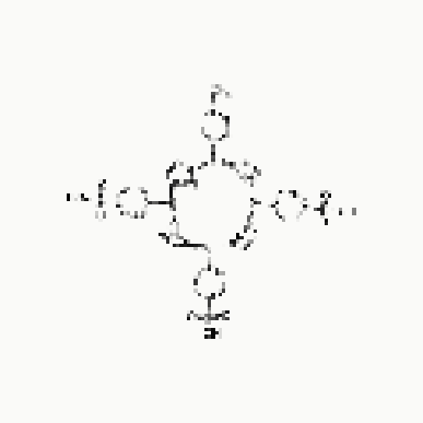 Cc1ccc(-c2c3nc(c(-c4ccc(S(=O)(=O)O)cc4)c4ccc([nH]4)c(-c4ccc(S(=O)(=O)O)cc4)c4nc(c(-c5ccc(S(=O)(=O)O)cc5)c5ccc2[nH]5)C=C4)C=C3)cc1